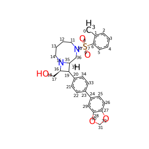 Cc1ccccc1S(=O)(=O)N1CCCCN2[C@H](CO)C(c3ccc(-c4ccc5c(c4)OCO5)cc3)[C@@H]2C1